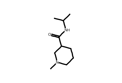 CC(C)NC(=O)C1CCCN(C)C1